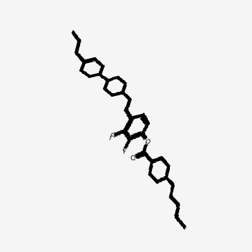 CCCCCC1CCC(C(=O)Oc2ccc(CCC3CCC(C4CCC(CCC)CC4)CC3)c(F)c2F)CC1